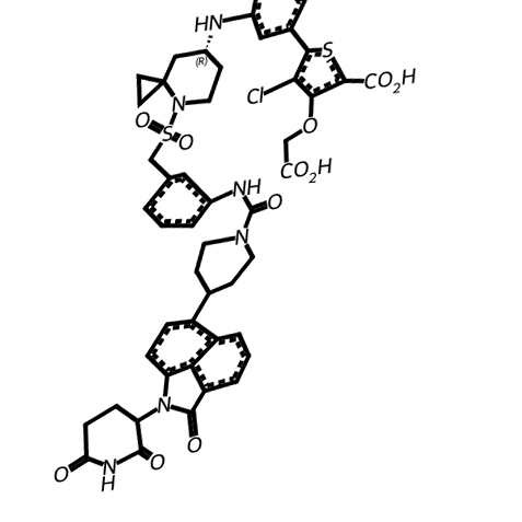 O=C(O)COc1c(C(=O)O)sc(-c2cccc(N[C@@H]3CCN(S(=O)(=O)Cc4cccc(NC(=O)N5CCC(c6ccc7c8c(cccc68)C(=O)N7C6CCC(=O)NC6=O)CC5)c4)C4(CC4)C3)c2)c1Cl